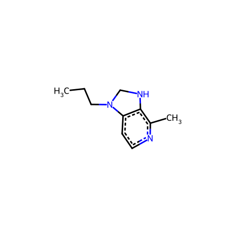 CCCN1CNc2c1ccnc2C